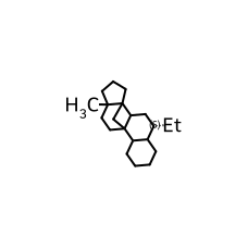 CC[C@H]1CC2C3(CCC4(C)CCCC24C3)C2CCCCC21